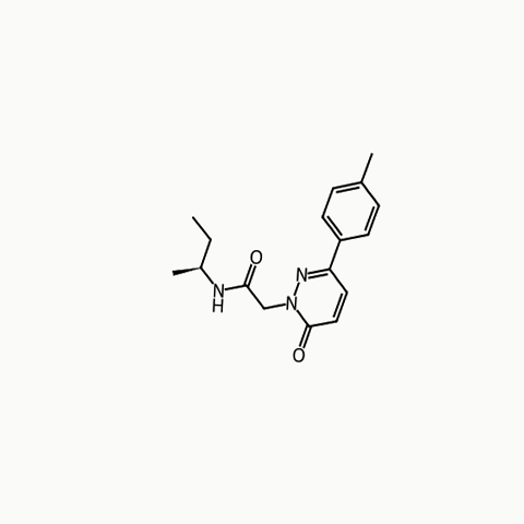 CC[C@H](C)NC(=O)Cn1nc(-c2ccc(C)cc2)ccc1=O